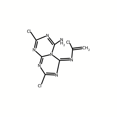 C=C(Cl)/N=c1/nc(Cl)nc2nc(Cl)nc(N)n12